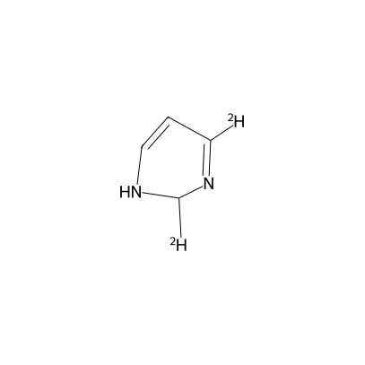 [2H]C1=NC([2H])NC=C1